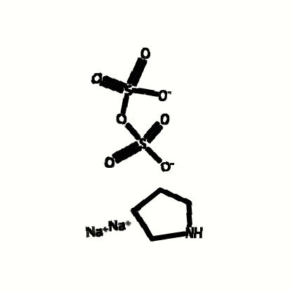 C1CCNC1.O=S(=O)([O-])OS(=O)(=O)[O-].[Na+].[Na+]